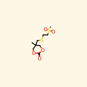 CC1(CSCCS(C)(=O)=O)COC(=O)OC1